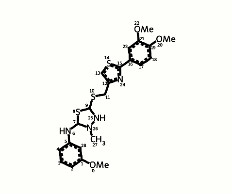 COc1cccc(NC2SC(SCc3csc(-c4ccc(OC)c(OC)c4)n3)NN2C)c1